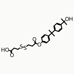 CC(C)(O)c1ccc(C(C)(C)c2ccc(OC(=O)CCSSCCC(=O)O)cc2)cc1